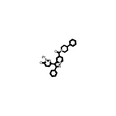 CC(C)n1nc(-c2c(-c3ccccc3)nn3ccc(C(=O)N4CCC(c5ccccc5)CC4)cc23)ccc1=O